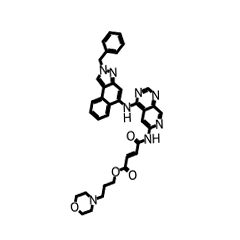 O=C(C=CC(=O)OCCCN1CCOCC1)Nc1cc2c(Nc3cc4nn(Cc5ccccc5)cc4c4ccccc34)ncnc2cn1